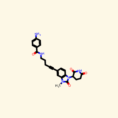 Cn1c(=O)n(C2CCC(=O)NC2=O)c2ccc(C#CCCCNC(=O)c3ccc(N)cc3)cc21